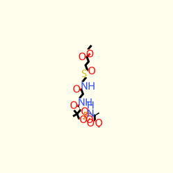 CCOC(=O)CCC(=O)SCCNC(=O)CCNC(=O)[C@@H]1OP(=O)(N[C@@H](C)C(=O)OC)OCC1(C)C